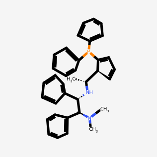 C[C@@H](N[C@@H](c1ccccc1)[C@H](c1ccccc1)N(C)C)[C@@H]1C=CC=C1P(c1ccccc1)c1ccccc1